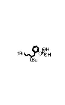 CC(C)(C)CCC(Cc1ccccc1OP(O)O)C(C)(C)C